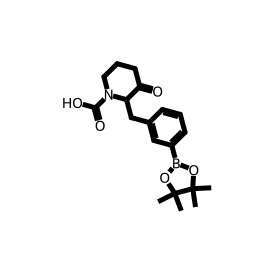 CC1(C)OB(c2cccc(CC3C(=O)CCCN3C(=O)O)c2)OC1(C)C